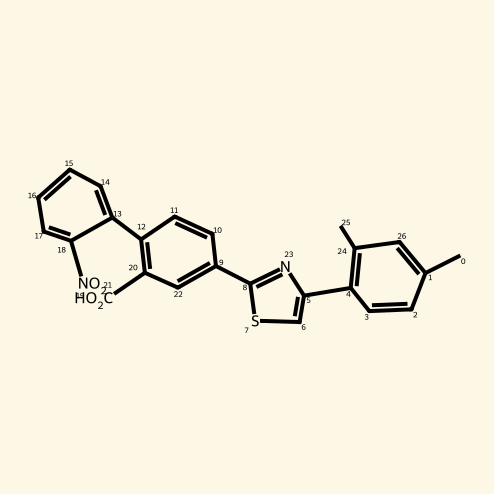 Cc1ccc(-c2csc(-c3ccc(-c4ccccc4[N+](=O)[O-])c(C(=O)O)c3)n2)c(C)c1